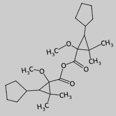 COC1(C(=O)OC(=O)C2(OC)C(C3CCCC3)C2(C)C)C(C2CCCC2)C1(C)C